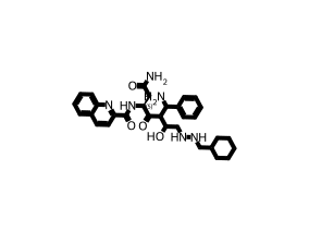 NC(=O)C[C@H](NC(=O)c1ccc2ccccc2n1)C(=O)C(C(O)CNNCC1CCCCC1)C(N)c1ccccc1